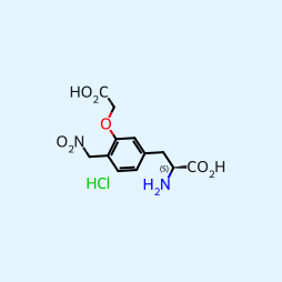 Cl.N[C@@H](Cc1ccc(C[N+](=O)[O-])c(OCC(=O)O)c1)C(=O)O